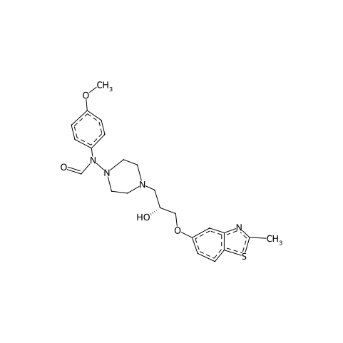 COc1ccc(N(C=O)N2CCN(C[C@@H](O)COc3ccc4sc(C)nc4c3)CC2)cc1